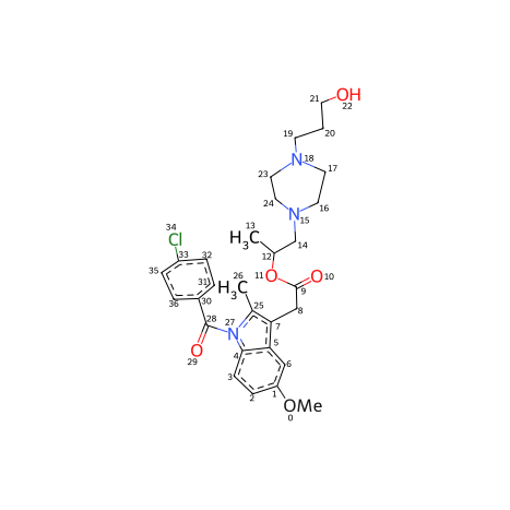 COc1ccc2c(c1)c(CC(=O)OC(C)CN1CCN(CCCO)CC1)c(C)n2C(=O)c1ccc(Cl)cc1